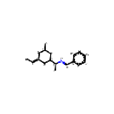 CC=C1CC(C)CC(C(C)/N=C/c2ccccc2)C1